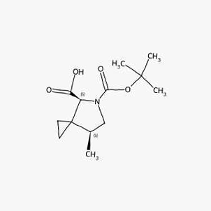 C[C@@H]1CN(C(=O)OC(C)(C)C)[C@H](C(=O)O)C12CC2